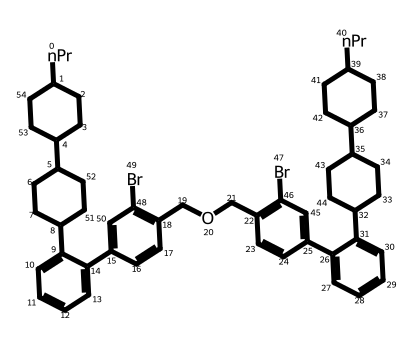 CCCC1CCC(C2CCC(c3ccccc3-c3ccc(COCc4ccc(-c5ccccc5C5CCC(C6CCC(CCC)CC6)CC5)cc4Br)c(Br)c3)CC2)CC1